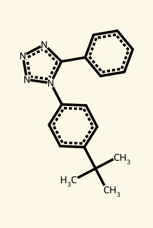 CC(C)(C)c1ccc(-n2nnnc2-c2ccccc2)cc1